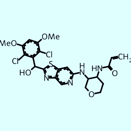 C=CC(=O)NC1CCOCC1Nc1cc2sc(C(O)c3c(Cl)c(OC)cc(OC)c3Cl)nc2cn1